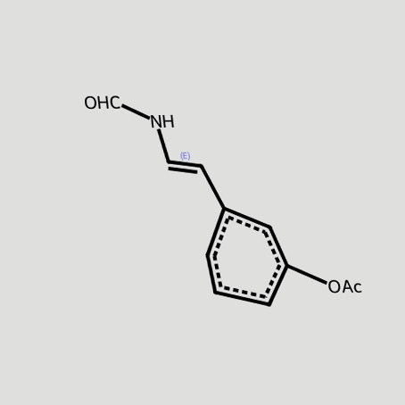 CC(=O)Oc1cccc(/C=C/NC=O)c1